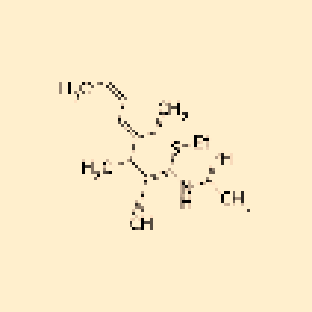 C#C/C(=C(\NC(C)=P)SCC)C(C)/C(C=C)=C/C=C\C